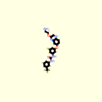 NCCOc1cnc2ccc(Oc3cc(F)cc(NC(=O)Nc4cccc(C(F)(F)F)c4)c3)cc2n1